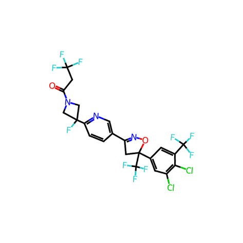 O=C(CC(F)(F)F)N1CC(F)(c2ccc(C3=NOC(c4cc(Cl)c(Cl)c(C(F)(F)F)c4)(C(F)(F)F)C3)cn2)C1